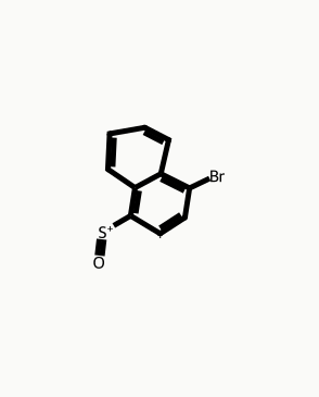 O=[S+]c1[c]cc(Br)c2ccccc12